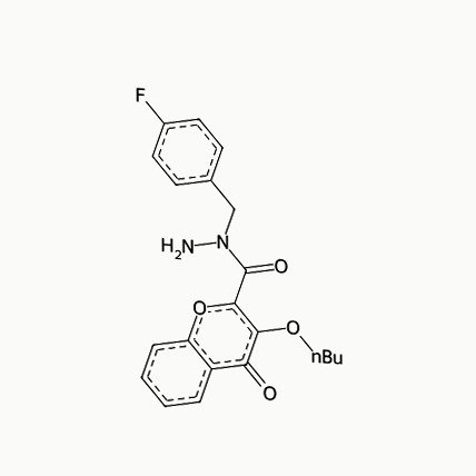 CCCCOc1c(C(=O)N(N)Cc2ccc(F)cc2)oc2ccccc2c1=O